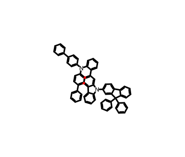 c1ccc(-c2ccc(N(c3ccc(-c4ccccc4)cc3)c3ccccc3-c3ccc4c5ccccc5n(-c5ccc6c(c5)C(c5ccccc5)(c5ccccc5)c5ccccc5-6)c4c3)cc2)cc1